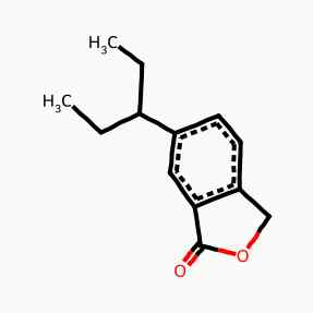 CCC(CC)c1ccc2c(c1)C(=O)OC2